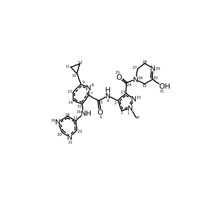 Cn1cc(NC(=O)c2nc(C3CC3)ccc2Nc2cncnc2)c(C(=O)N2CCN=C(O)C2)n1